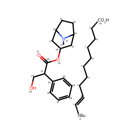 CCCCC=CCCCCCCCC(=O)O.CN1C2CCC1CC(OC(=O)C(CO)c1ccccc1)C2